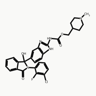 CN1CCC(COC(=O)Nc2nc3cc(C4(O)c5ccccc5C(=O)N4c4cccc(Cl)c4F)ccc3[nH]2)CC1